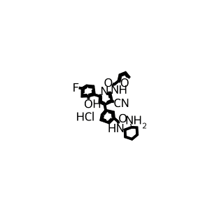 Cl.N#Cc1c(-c2cccc(C(=O)N[C@H]3CCCC[C@H]3N)c2)cc(-c2ccc(F)cc2O)nc1NC(=O)c1ccco1